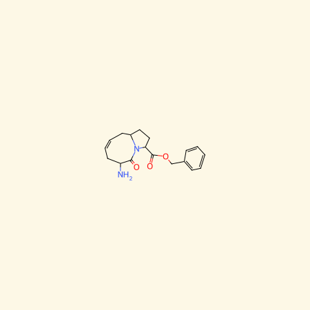 NC1CC=CCC2CCC(C(=O)OCc3ccccc3)N2C1=O